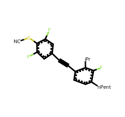 CCCCCc1ccc(C#Cc2cc(F)c(SC#N)c(F)c2)c(C(C)C)c1F